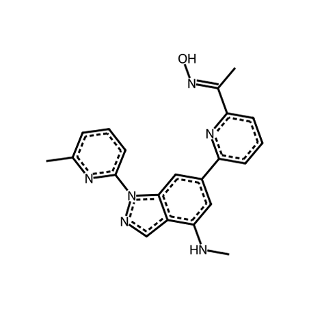 CNc1cc(-c2cccc(C(C)=NO)n2)cc2c1cnn2-c1cccc(C)n1